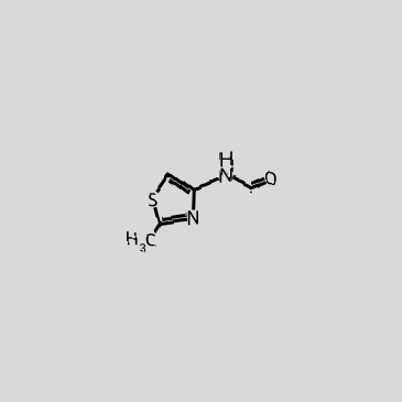 Cc1nc(N[C]=O)cs1